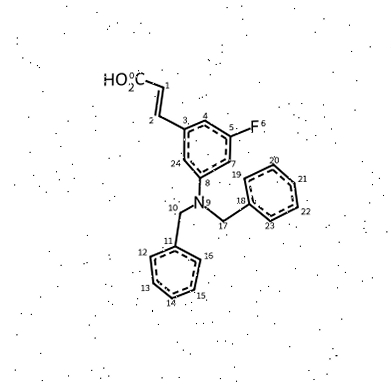 O=C(O)/C=C/c1cc(F)cc(N(Cc2ccccc2)Cc2ccccc2)c1